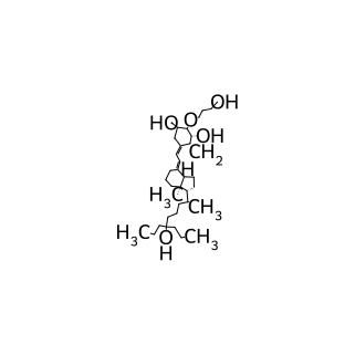 C=C1C(=CC=C2CCC[C@]3(C)[C@@H]([C@H](C)CCCC(O)(CCC)CCC)CC[C@@H]23)C[C@@H](O)[C@@H](OCCCO)[C@@H]1O